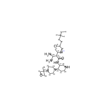 CCC(C)(C)CCC(Cl)/C=N\C(C)C(C(=O)NC1CNCCC1N1CCN(C2(C)COC2)CC1)C(N)N